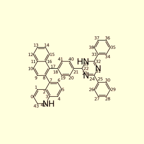 C1=Cc2c(cccc2-c2ccc3ccccc3c2-c2ccc(C3N=C(c4ccccc4)N=C(c4ccccc4)N3)cc2)NC1